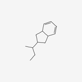 CCC(C)C1CC2C=CC=CC2C1